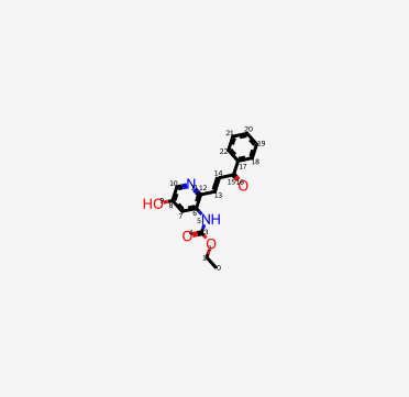 CCOC(=O)Nc1cc(O)cnc1C=CC(=O)c1ccccc1